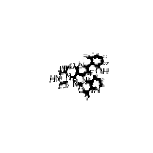 Cc1ccnc(C(C)C)c1-n1c(=O)nc2c3c(nc(-c4c(O)cccc4F)c(F)c31)OC[C@H]1CNCCN21